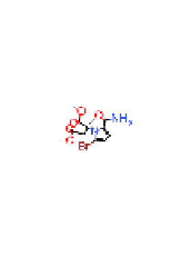 COC(=O)C[C@@](C)(C(=O)OC)n1c(Br)ccc1C(N)=O